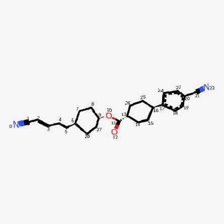 N#CC=CCC[C@H]1CC[C@H](OC(=O)[C@H]2CC[C@H](c3ccc(C#N)cc3)CC2)CC1